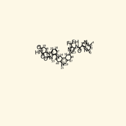 Cc1cc(C)n2ncc(C(=O)Nc3cn([C@H]4CC[C@H](CN(C)C5CCN(c6cccc7c6n(C)c(=O)n7C6CCC(=O)NC6=O)CC5)CC4)nc3C(F)F)c2n1